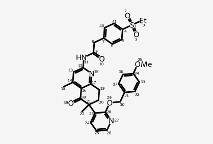 CCS(=O)(=O)c1ccc(CC(=O)Nc2cc(C)c3c(n2)CCC(C)(c2cccnc2OCc2ccc(OC)cc2)C3=O)cc1